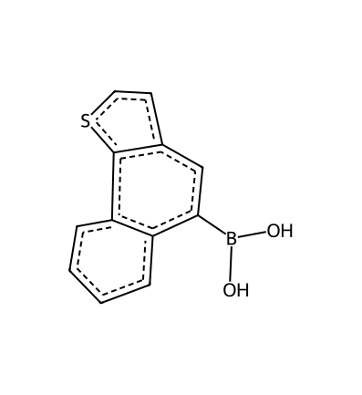 OB(O)c1cc2ccsc2c2ccccc12